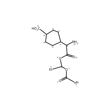 CCCC(=O)OC(CC)OC(=O)C(N)C1CCC(C(=O)O)CC1